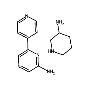 NC1CCCNC1.Nc1cncc(-c2ccncc2)n1